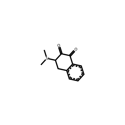 C[S+](C)C1Cc2ccccc2C(=O)C1=O